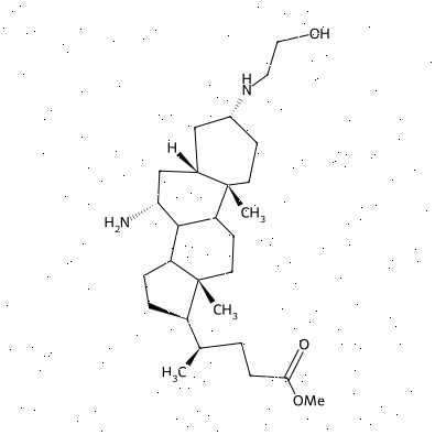 COC(=O)CC[C@@H](C)[C@H]1CCC2C3C(CC[C@@]21C)[C@@]1(C)CC[C@@H](NCCO)C[C@H]1C[C@H]3N